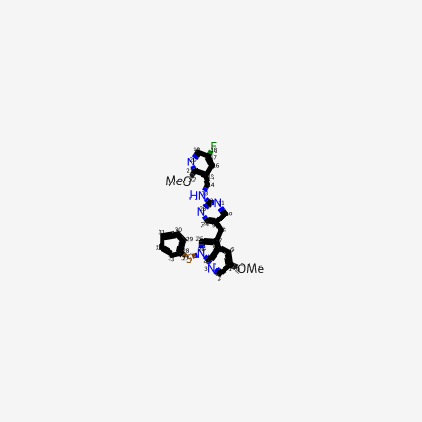 COc1cnc2c(c1)c(Cc1cnc(NCc3cc(F)cnc3OC)nc1)cn2Sc1ccccc1